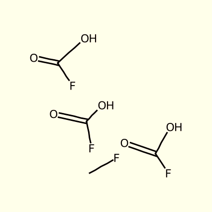 CF.O=C(O)F.O=C(O)F.O=C(O)F